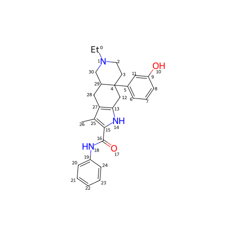 CCN1CCC2(c3cccc(O)c3)Cc3[nH]c(C(=O)Nc4ccccc4)c(C)c3CC2C1